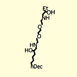 CCCCCCCCCCCCCCC(O)CNCCOCCOCCNCC(O)CC